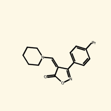 CC(C)c1ccc(C2=NOC(=O)C2=CN2CCCCC2)cc1